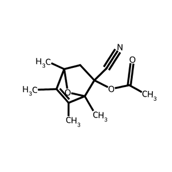 CC(=O)OC1(C#N)CC2(C)OC1(C)C(C)=C2C